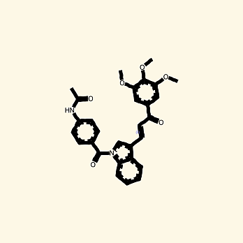 COc1cc(C(=O)/C=C/c2cn(C(=O)c3ccc(NC(C)=O)cc3)c3ccccc23)cc(OC)c1OC